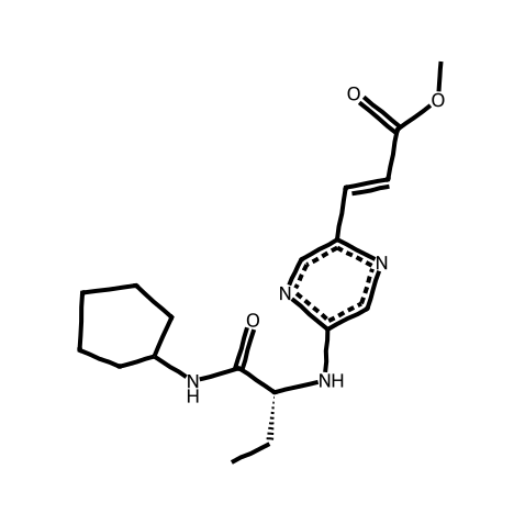 CC[C@@H](Nc1cnc(/C=C/C(=O)OC)cn1)C(=O)NC1CCCCC1